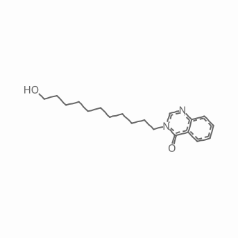 O=c1c2ccccc2ncn1CCCCCCCCCCCO